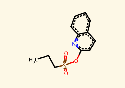 CCCS(=O)(=O)Oc1ccc2ccccc2n1